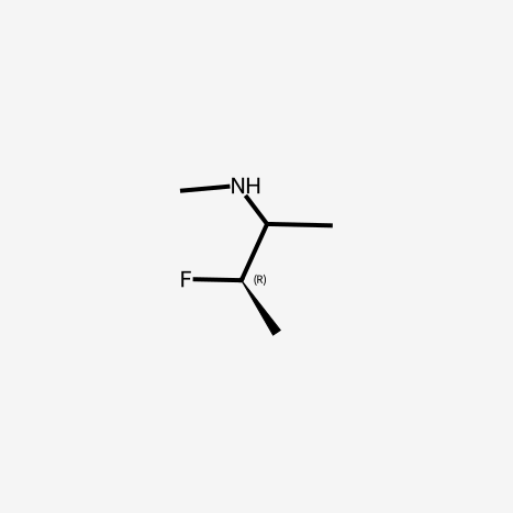 CNC(C)[C@@H](C)F